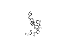 C=CC(=O)NC[C@H]1CCC[C@H]1NC(=O)c1sc2nccc3c2c1NC(=O)N3c1ccc(OC2CCOCC2)cc1C